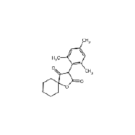 Cc1cc(C)c(C2C(=O)OC3(CCSCC3)C2=O)c(C)c1